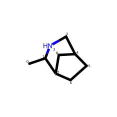 CC1NCC2CC[C]1C2